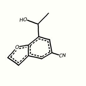 CC(O)c1cc(C#N)cc2ccoc12